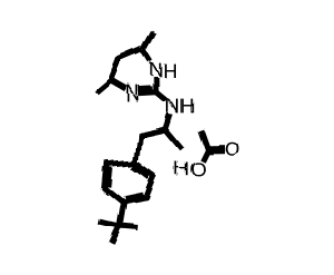 CC(=O)O.CC1CC(C)NC(NC(C)Cc2ccc(C(C)(C)C)cc2)=N1